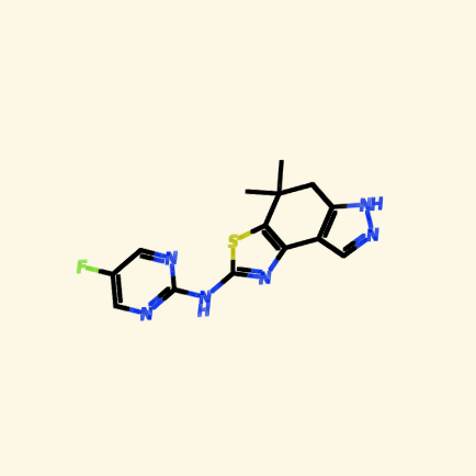 CC1(C)Cc2[nH]ncc2-c2nc(Nc3ncc(F)cn3)sc21